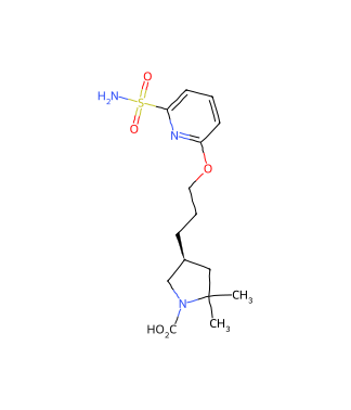 CC1(C)C[C@H](CCCOc2cccc(S(N)(=O)=O)n2)CN1C(=O)O